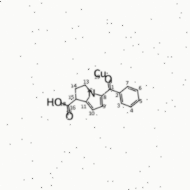 O=C(c1ccccc1)c1ccc2n1CCC2C(=O)O.[Cu]